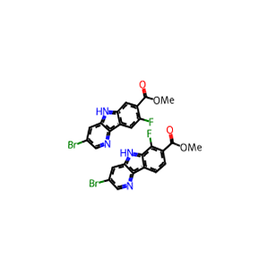 COC(=O)c1cc2[nH]c3cc(Br)cnc3c2cc1F.COC(=O)c1ccc2c([nH]c3cc(Br)cnc32)c1F